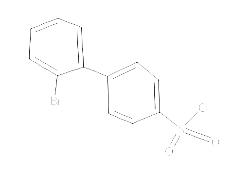 O=S(=O)(Cl)c1ccc(-c2ccccc2Br)cc1